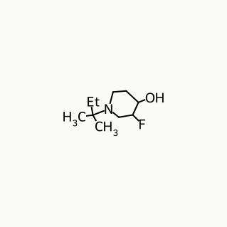 CCC(C)(C)N1CCC(O)C(F)C1